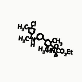 CCOC(=O)C1(NC(=O)c2c(C)cc(-c3cccc(NC(C)c4ccc(Cl)c(C)c4)c3)cc2C)CC1